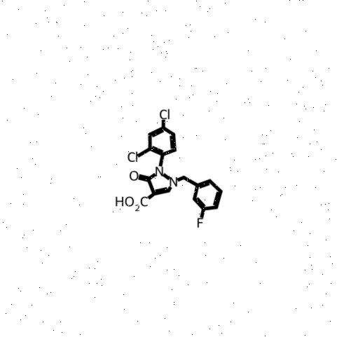 O=C(O)c1cn(Cc2cccc(F)c2)n(-c2ccc(Cl)cc2Cl)c1=O